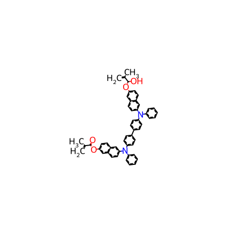 C=C(C)C(=O)Oc1ccc2cc(N(c3ccccc3)c3ccc(-c4ccc(N(c5ccccc5)c5ccc6cc(OC(O)C(=C)C)ccc6c5)cc4)cc3)ccc2c1